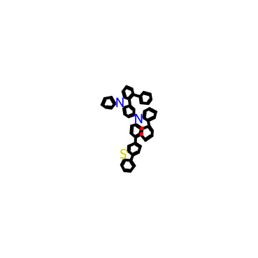 c1ccc(-c2ccccc2N(c2ccc(-c3ccc4c(c3)sc3ccccc34)cc2)c2ccc3c(c2)c2c(-c4ccccc4)cccc2n3-c2ccccc2)cc1